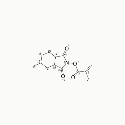 C=C(C)C(=O)ON1C(=O)C2CCC(C)CC2C1=O